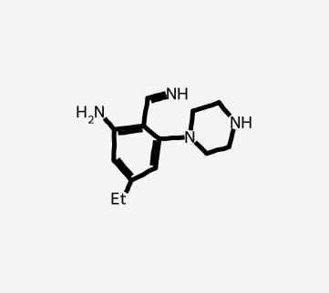 CCc1cc(N)c(C=N)c(N2CCNCC2)c1